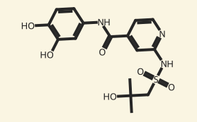 CC(C)(O)CS(=O)(=O)Nc1cc(C(=O)Nc2ccc(O)c(O)c2)ccn1